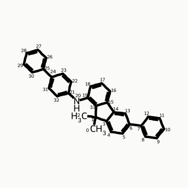 CC1(C)c2ccc(-c3ccccc3)cc2-c2cccc(Nc3ccc(-c4ccccc4)cc3)c21